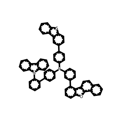 c1cc(-c2cccc3oc4c5ccccc5ccc4c23)cc(N(c2ccc(-c3ccc4sc5ccccc5c4c3)cc2)c2ccc(-c3ccccc3-n3c4ccccc4c4ccccc43)cc2)c1